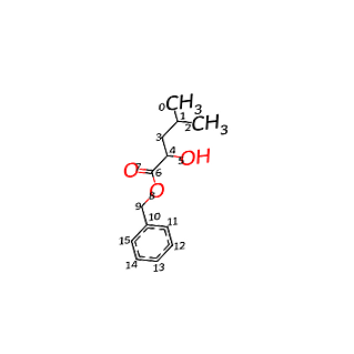 CC(C)CC(O)C(=O)OCc1ccccc1